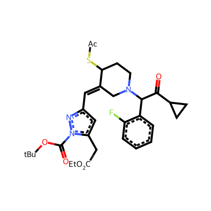 CCOC(=O)Cc1cc(/C=C2\CN(C(C(=O)C3CC3)c3ccccc3F)CCC2SC(C)=O)nn1C(=O)OC(C)(C)C